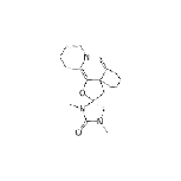 CN1C[C@]2(CC34CCCCC3=CN3C=CCCC3=C4O2)N(C)C1=O